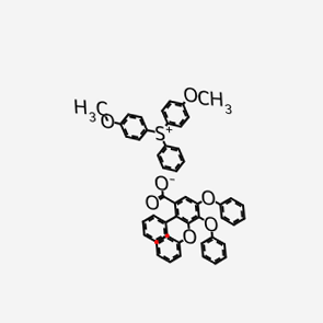 COc1ccc([S+](c2ccccc2)c2ccc(OC)cc2)cc1.O=C([O-])c1cc(Oc2ccccc2)c(Oc2ccccc2)c(Oc2ccccc2)c1-c1ccccc1